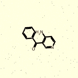 Nc1ccncc1C(=O)c1ccccc1